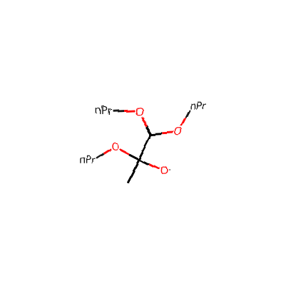 CCCOC(OCCC)C(C)([O])OCCC